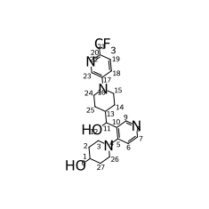 OC1CCN(c2ccncc2C(O)C2CCN(c3ccc(C(F)(F)F)nc3)CC2)CC1